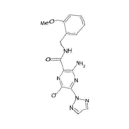 COc1ccccc1CNC(=O)c1nc(Cl)c(-n2nccn2)nc1N